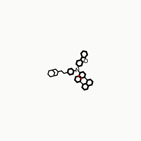 c1ccc(-c2cccc3cccc(-c4ccc(N(c5ccc(CCC6CC7CCCC(C7)C6)cc5)c5ccc6c(c5)oc5ccccc56)cc4)c23)cc1